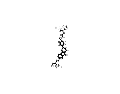 CCC(N)CCc1ccc2c(n1)[nH]c1ccc(-c3ccc(OCCCN(CC)CC)cc3)cc12